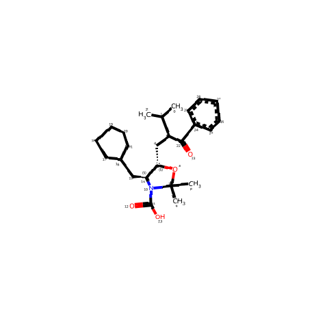 CC(C)C(C[C@@H]1OC(C)(C)N(C(=O)O)[C@H]1CC1CCCCC1)C(=O)c1ccccc1